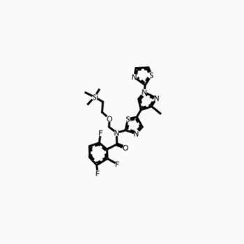 Cc1nn(-c2nccs2)cc1-c1cnc(N(COCC[Si](C)(C)C)C(=O)c2c(F)ccc(F)c2F)s1